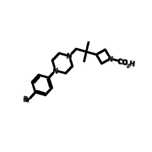 CC(C)(CN1CCN(c2ccc(Br)cc2)CC1)C1CN(C(=O)O)C1